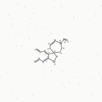 C=C/C=C1\C(=C/C=C)OCC12CC=CN(P)CC2